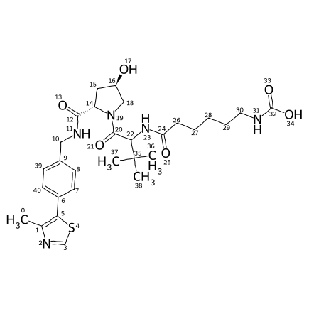 Cc1ncsc1-c1ccc(CNC(=O)[C@@H]2C[C@@H](O)CN2C(=O)C(NC(=O)CCCCCNC(=O)O)C(C)(C)C)cc1